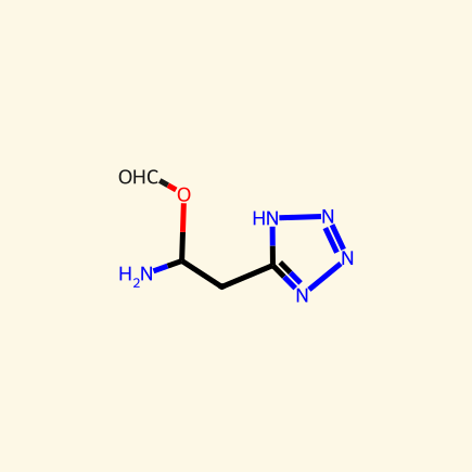 NC(Cc1nnn[nH]1)OC=O